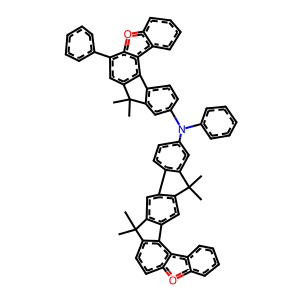 CC1(C)c2cc(N(c3ccccc3)c3ccc4c(c3)C(C)(C)c3cc(-c5ccccc5)c5oc6ccccc6c5c3-4)ccc2-c2cc3c(cc21)-c1c(ccc2oc4ccccc4c12)C3(C)C